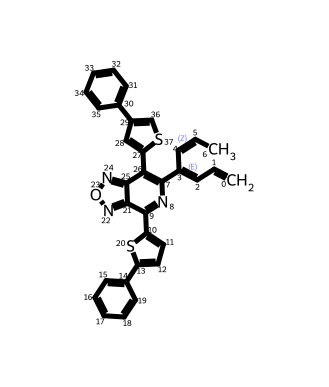 C=C/C=C(\C=C/C)c1nc(-c2ccc(-c3ccccc3)s2)c2nonc2c1-c1cc(-c2ccccc2)cs1